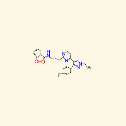 CC(C)Cn1cc(-c2ccnc(CCCNC(=O)c3ccccc3O)n2)c(-c2ccc(F)cc2)n1